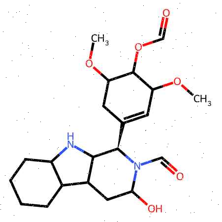 COC1C=C([C@@H]2C3NC4CCCCC4C3CC(O)N2C=O)CC(OC)C1OC=O